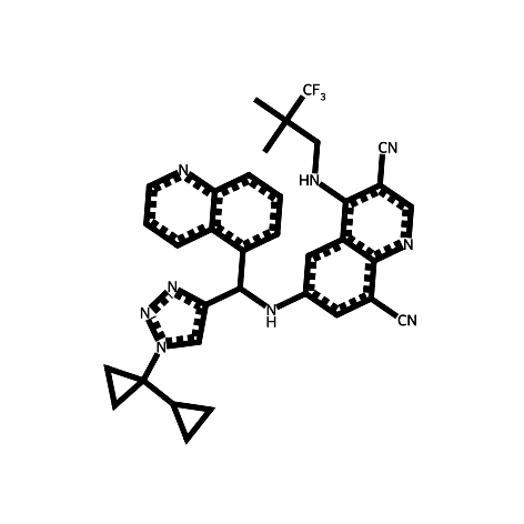 CC(C)(CNc1c(C#N)cnc2c(C#N)cc(NC(c3cn(C4(C5CC5)CC4)nn3)c3cccc4ncccc34)cc12)C(F)(F)F